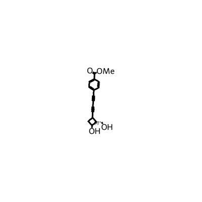 COC(=O)c1ccc(C#CC#CC2CC(O)[C@H]2CO)cc1